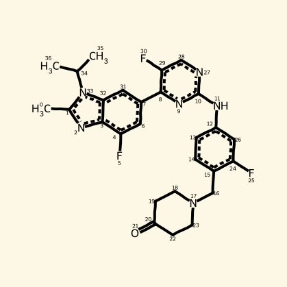 Cc1nc2c(F)cc(-c3nc(Nc4ccc(CN5CCC(=O)CC5)c(F)c4)ncc3F)cc2n1C(C)C